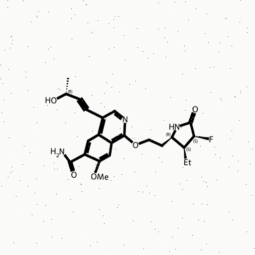 CC[C@@H]1[C@H](F)C(=O)N[C@@H]1CCOc1ncc(C#C[C@@H](C)O)c2cc(C(N)=O)c(OC)cc12